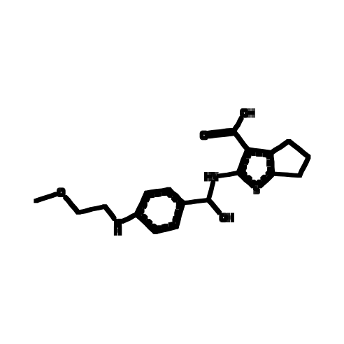 COCCNc1ccc(C(O)Nc2sc3c(c2C(=O)O)CCC3)cc1